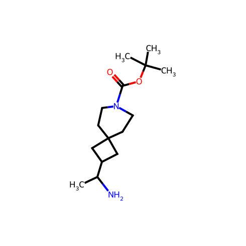 CC(N)C1CC2(CCN(C(=O)OC(C)(C)C)CC2)C1